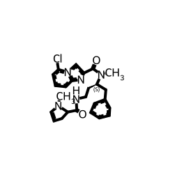 CN1C=CCC1C(=O)NCC[C@H](Cc1ccccc1)N(C)C(=O)c1cn2c(Cl)cccc2n1